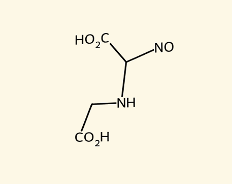 O=NC(NCC(=O)O)C(=O)O